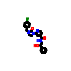 O=C(NC[C@H](O)c1ccccc1)c1ccnc(N2CCN(Cc3ccc(F)cc3)C2=O)c1